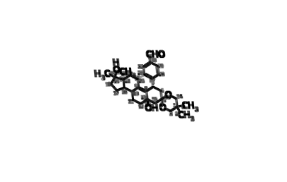 CC1(C)COC2(CCC3=C4C(CC[C@@]3(O)C2)C2CCC(C)(O)[C@@]2(C)C[C@@H]4c2cccc(C=O)c2)OC1